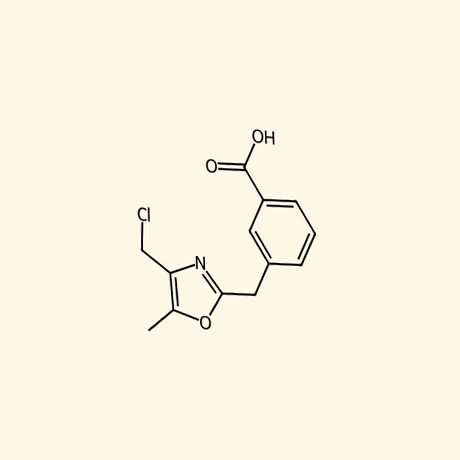 Cc1oc(Cc2cccc(C(=O)O)c2)nc1CCl